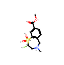 COC(=O)c1ccc2c(c1)S(=O)(=O)[C@H](F)CN(C)C2